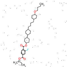 [CH2+][C-](CC)OC(=O)c1ccc(C(=O)OC2CCC(C3CCC(CCCCC4CCC(OCCCC)CC4)CC3)CC2)c(F)c1